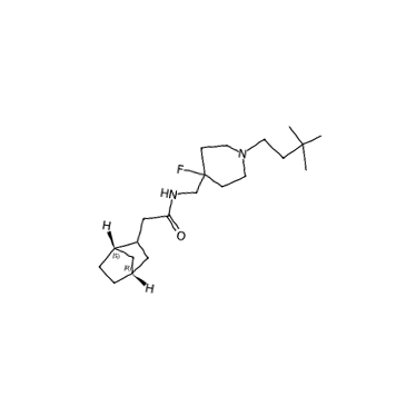 CC(C)(C)CCN1CCC(F)(CNC(=O)CC2C[C@@H]3CC[C@H]2C3)CC1